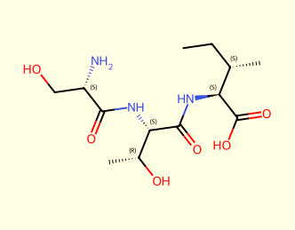 CC[C@H](C)[C@H](NC(=O)[C@@H](NC(=O)[C@@H](N)CO)[C@@H](C)O)C(=O)O